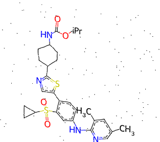 Cc1cnc(Nc2ccc(-c3cnc(C4CCC(NC(=O)OC(C)C)CC4)s3)c(S(=O)(=O)C3CC3)c2)c(C)c1